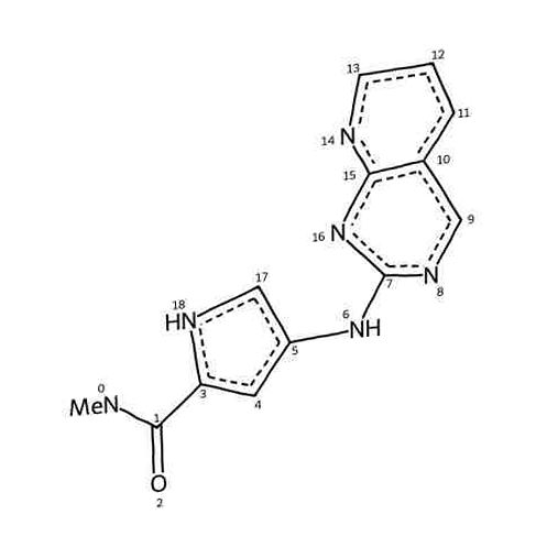 CNC(=O)c1cc(Nc2ncc3cccnc3n2)c[nH]1